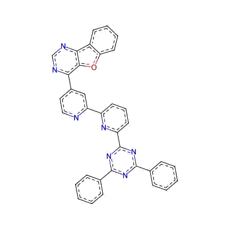 c1ccc(-c2nc(-c3ccccc3)nc(-c3cccc(-c4cc(-c5ncnc6c5oc5ccccc56)ccn4)n3)n2)cc1